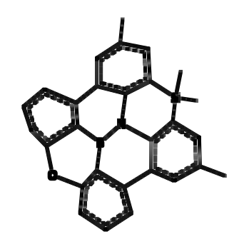 Cc1cc2c3c(c1)[Si](C)(C)c1cc(C)cc4c1N3B1c3c(cccc3-2)Oc2cccc-4c21